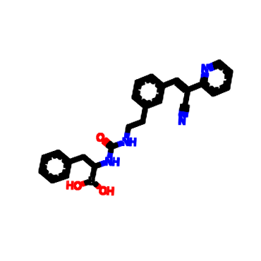 N#CC(=Cc1cccc(CCNC(=O)NC(Cc2ccccc2)B(O)O)c1)c1ccccn1